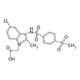 Cc1c(NS(=O)(=O)c2ccc(S(C)(=O)=O)cc2)c2cc(Cl)ccc2n1CC(=O)O